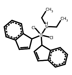 CC[SiH](CC)[Ti]([Cl])([Cl])([CH]1C=Cc2ccccc21)[CH]1C=Cc2ccccc21